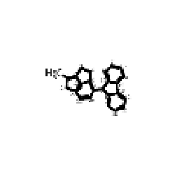 CC1=C2CCc3c(C4c5ccccc5-c5ccccc54)ccc(c32)[CH]1